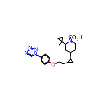 CC1(C2CC([C@H]3C[C@H]3CCOc3ccc(-n4cnnn4)cc3)CCN2C(=O)O)CC1